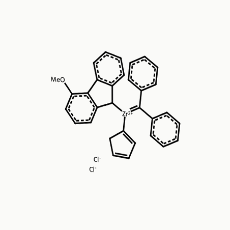 COc1cccc2c1-c1ccccc1[CH]2[Zr+2]([C]1=CC=CC1)=[C](c1ccccc1)c1ccccc1.[Cl-].[Cl-]